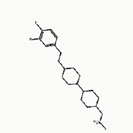 C[SiH2]CC1CCC(C2CCC(CCc3ccc(F)c(F)c3)CC2)CC1